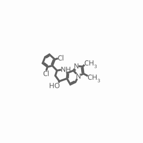 Cc1nc2c3c(ccn2c1C)C(O)CC(c1c(Cl)cccc1Cl)N3